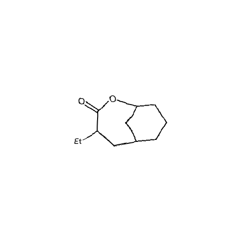 CCC1CC2CCCC(C2)OC1=O